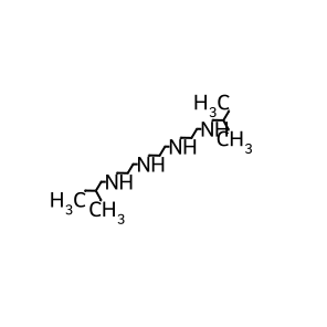 CCC(CC)CNCCCNCCCNCCCNCC(CC)CC